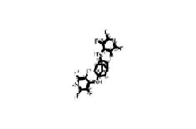 Fc1nc(F)c(F)c(NC23CC4CC(C2)C(Nc2c(F)c(F)nc(F)c2F)(C4)C3)c1F